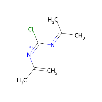 C=C(C)/N=C(/Cl)N=C(C)C